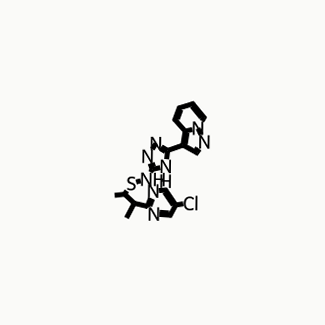 CC(SNc1nnc(-c2cnn3ccccc23)[nH]1)C(C)c1ncc(Cl)cn1